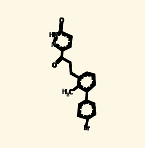 Cc1c(CCC(=O)c2ccc(=O)[nH]n2)cccc1-c1ccc(Br)cc1